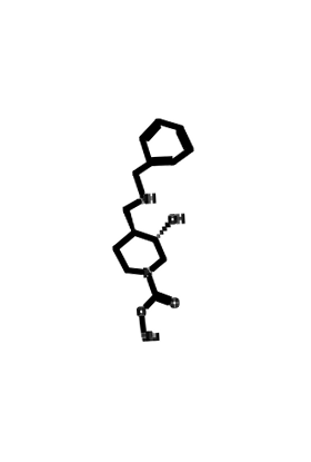 CC(C)(C)OC(=O)N1CC[C@@H](CNCc2ccccc2)[C@H](O)C1